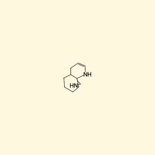 C1=CNC23CCNC2CCCC3C1